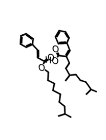 CC(C)CCCC(C)CCC(=Cc1ccccc1)C(=O)O.CC(C)CCCCCCCOC(=O)C=Cc1ccccc1